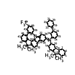 CC1(C)c2ccccc2-c2cc(N(c3cccc(-c4ccccc4)c3)c3ccc4c(c3)c3ccc5c6c3n4-c3ccc(C(F)(F)F)cc3-c3cccc(c3-6)C5(C)C)ccc21